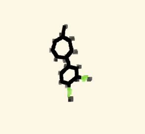 CC1CCC[C](C2CCC(F)C(F)C2)CC1